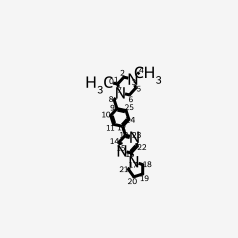 CC1CN(C)CCN1Cc1ccc(-c2cnc(N3CCCC3)cn2)cc1